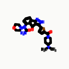 CN(C)C1CCN(C(=O)c2ccc(-c3[nH]nc4c3C(=O)c3c-4cccc3N(C(N)=O)N3CCOCC3)s2)CC1